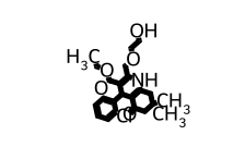 CCOC(=O)C1=C(COCCO)NC2=C(C(=O)CC(C)(C)C2)C1c1ccccc1Cl